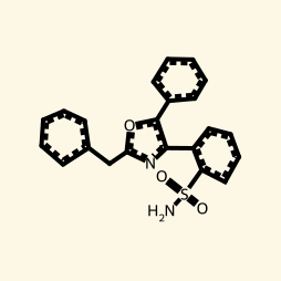 NS(=O)(=O)c1ccccc1-c1nc(Cc2ccccc2)oc1-c1ccccc1